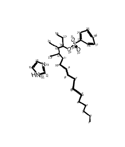 CCCCCCCCCCCCC(C)C(C)C(CC)OS(=O)(=O)c1ccccc1.c1c[nH]cn1